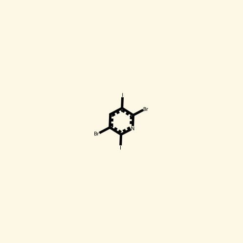 Brc1cc(I)c(Br)nc1I